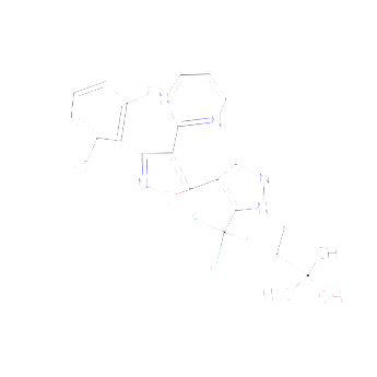 CC(C)(O)CCn1ncc(-c2onc(-c3c(F)cccc3Cl)c2-c2ncccn2)c1C(F)(F)F